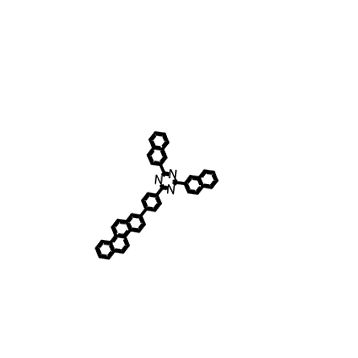 c1ccc2cc(-c3nc(-c4ccc(-c5ccc6c(ccc7c8ccccc8ccc67)c5)cc4)nc(-c4ccc5ccccc5c4)n3)ccc2c1